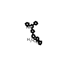 CC1(C)c2c(ccc3c2oc2ccccc23)C2C=C(c3ccc(C4C=C(c5ccccc5)C=C(c5ccccc5)N4)cc3)C=CC21